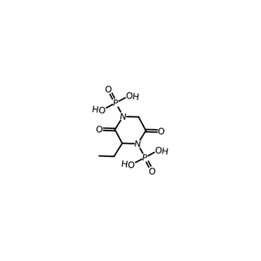 CCC1C(=O)N(P(=O)(O)O)CC(=O)N1P(=O)(O)O